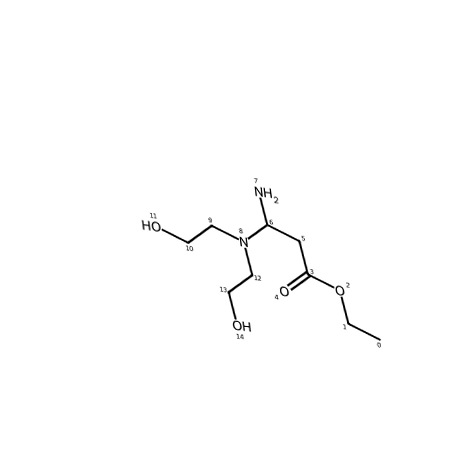 CCOC(=O)CC(N)N(CCO)CCO